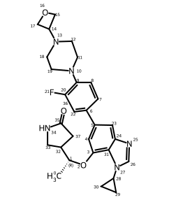 C[C@@H](Oc1cc(-c2ccc(N3CCN(C4COC4)CC3)c(F)c2)cc2ncn(C3CC3)c12)C1CNC(=O)C1